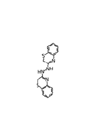 c1ccc2c(c1)N=C(NNC1=Nc3ccccc3SC1)CS2